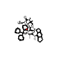 CN(C(=O)OC(C)(C)C)C1(C)COc2c(S(=O)(=NC(c3ccccc3)(c3ccccc3)c3ccccc3)NC(=O)Nc3c4c(cc5c3CCC5)CCC4)cnn2C1